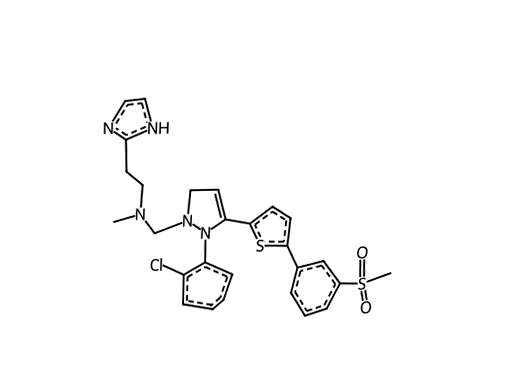 CN(CCc1ncc[nH]1)CN1CC=C(c2ccc(-c3cccc(S(C)(=O)=O)c3)s2)N1c1ccccc1Cl